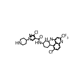 Nc1cc(C(F)(F)F)nc2ccc(Cl)c(C3CCC(NC(=O)c4cn(C5CCNCC5)nc4Cl)CC3)c12